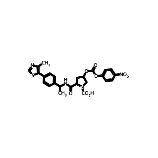 Cc1ncsc1-c1ccc(C(C)NC(=O)C2CC(OC(=O)Oc3ccc([N+](=O)[O-])cc3)CN2C(=O)O)cc1